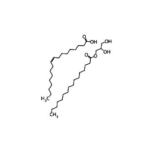 CCCCCCCC/C=C\CCCCCCCC(=O)O.CCCCCCCCCCCCCCCC(=O)OCC(O)CO